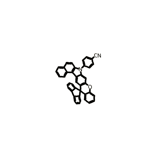 N#Cc1ccc(-n2c3cc4c(cc3c3c5ccccc5ccc32)C2(c3ccccc3O4)c3ccccc3-c3ccccc32)cc1